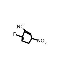 N#CC1=CC([N+](=O)[O-])CC=C1F